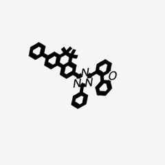 CC1(C)c2cc(-c3ccccc3)ccc2-c2ccc(-c3nc(-c4ccccc4)nc(-c4cccc5oc6ccccc6c45)n3)cc2C1(C)C